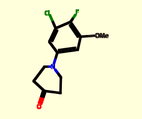 COc1cc(N2CCC(=O)CC2)cc(Cl)c1F